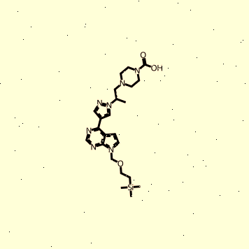 CC(CN1CCN(C(=O)O)CC1)n1cc(-c2ncnc3c2ccn3COCC[Si](C)(C)C)cn1